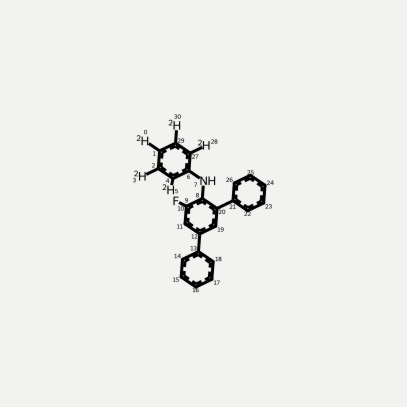 [2H]c1c([2H])c([2H])c(Nc2c(F)cc(-c3ccccc3)cc2-c2ccccc2)c([2H])c1[2H]